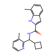 Cc1cccnc1C(NC(=O)c1cc2cccc(C)c2[nH]1)C1CCC1